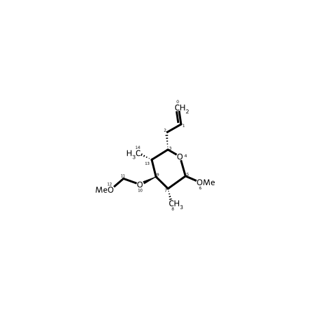 C=CC[C@@H]1OC(OC)[C@H](C)[C@@H](OCOC)[C@@H]1C